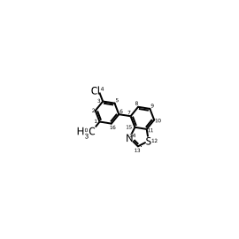 Cc1cc(Cl)cc(-c2cccc3s[c]nc23)c1